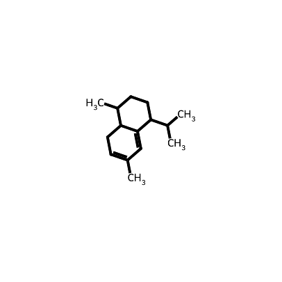 CC1=CCC2C(=C1)C(C(C)C)CCC2C